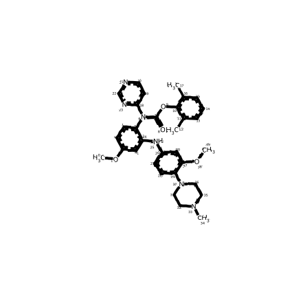 COc1ccc(N(C(=O)Oc2c(C)cccc2C)c2ccncn2)c(Nc2ccc(N3CCN(C)CC3)c(OC)c2)c1